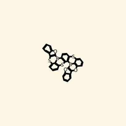 c1cc2c3c(c1)Sc1ccc4c(c1B3c1oc3ccccc3c1O2)Sc1cccc2c1B4c1oc3ccccc3c1S2